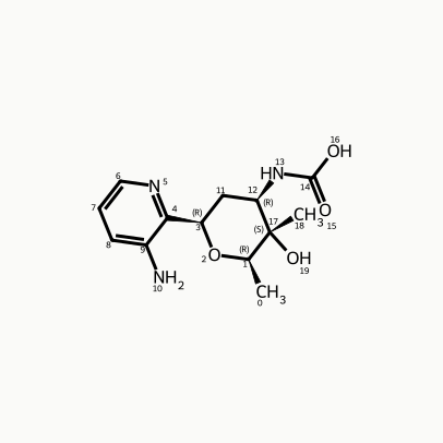 C[C@H]1O[C@@H](c2ncccc2N)C[C@@H](NC(=O)O)[C@]1(C)O